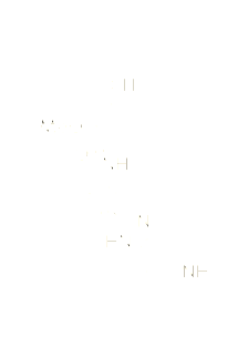 COc1cc(C)ccc1C(=O)Nc1cccc([C@H]2NC=C(/C=C\C=N)N2)c1